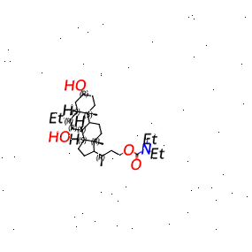 CC[C@H]1[C@@H](O)[C@@H]2C(CC[C@]3(C)C([C@H](C)CCOC(=O)N(CC)CC)CC[C@@H]23)[C@@]2(C)CC[C@@H](O)C[C@@H]12